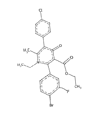 CCOC(=O)c1c(-c2ccc(Br)c(F)c2)n(CC)c(C)c(-c2ccc(Cl)cc2)c1=O